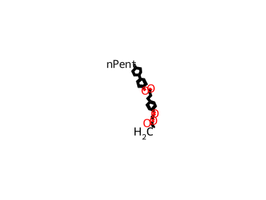 C=CC(=O)OCOc1ccc(CCC(=O)Oc2ccc(C3CCC(CCCCC)CC3)cc2)cc1